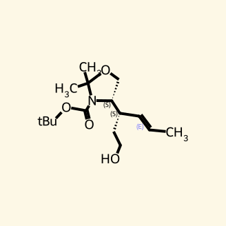 C/C=C/[C@H](CCO)[C@H]1COC(C)(C)N1C(=O)OC(C)(C)C